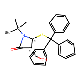 CC(C)(C)[Si](C)(C)N1C(=O)[C@@H](CO)[C@@H]1SC(c1ccccc1)(c1ccccc1)c1ccccc1